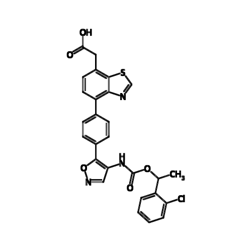 CC(OC(=O)Nc1cnoc1-c1ccc(-c2ccc(CC(=O)O)c3scnc23)cc1)c1ccccc1Cl